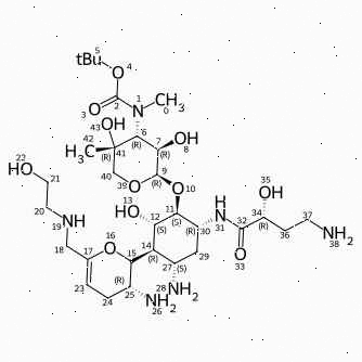 CN(C(=O)OC(C)(C)C)[C@@H]1[C@@H](O)[C@@H](O[C@@H]2[C@@H](O)[C@H](C3OC(CNCCO)=CC[C@H]3N)[C@@H](N)C[C@H]2NC(=O)[C@H](O)CCN)OC[C@]1(C)O